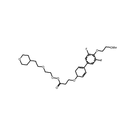 COCCOc1c(F)cc(C2=CCC(OCCC(=O)OOCCOCCC3CCOCC3)C=C2)cc1F